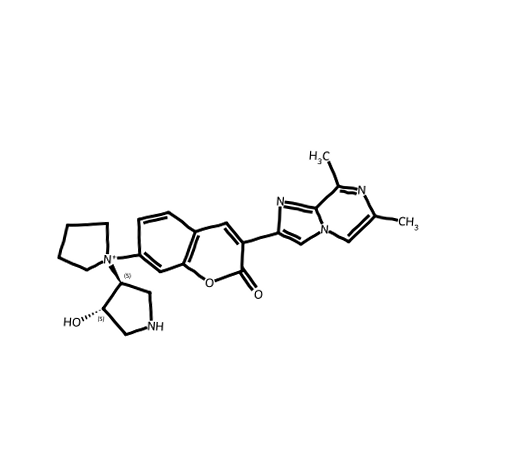 Cc1cn2cc(-c3cc4ccc([N+]5([C@H]6CNC[C@@H]6O)CCCC5)cc4oc3=O)nc2c(C)n1